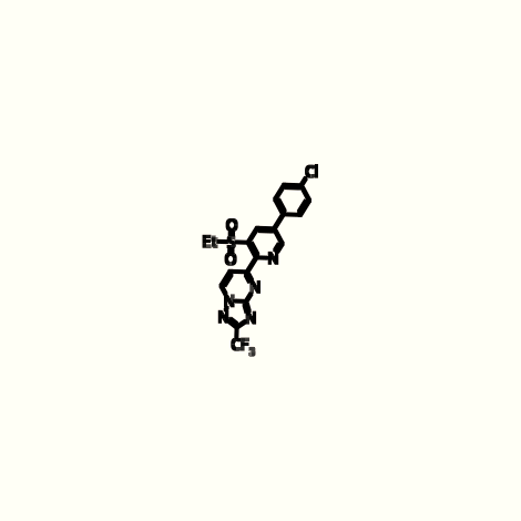 CCS(=O)(=O)c1cc(-c2ccc(Cl)cc2)cnc1-c1ccn2nc(C(F)(F)F)nc2n1